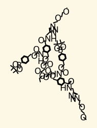 CCOC(=O)C(OC(=O)OCc1ccc(C(=O)NCc2cn(CCOCCOC)nn2)cc1NC(=O)OCc1ccc(B2OC(C)(C)C(C)(C)O2)cc1)OC(=O)OCc1ccc(C(=O)NCc2cn(CCOCCOC)nn2)cc1NC(=O)OCc1ccc(B2OC(C)(C)C(C)(C)O2)cc1